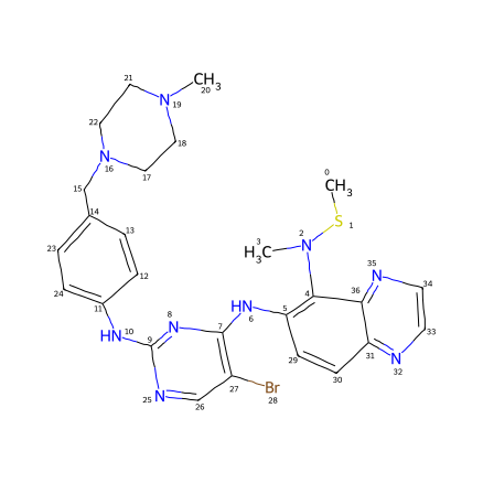 CSN(C)c1c(Nc2nc(Nc3ccc(CN4CCN(C)CC4)cc3)ncc2Br)ccc2nccnc12